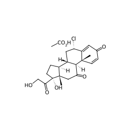 CC(=O)O.C[C@]12C=CC(=O)C=C1[C@@H](Cl)C[C@@H]1[C@@H]2C(=O)C[C@@]2(C)[C@H]1CC[C@]2(O)C(=O)CO